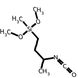 CO[Si](C)(CCC(C)N=C=O)OC